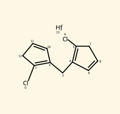 ClC1=C(CC2=C(Cl)CC=C2)C=CC1.[Hf]